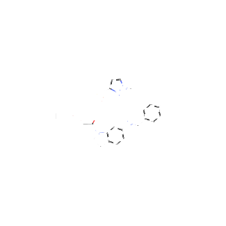 COCC(=O)N1CCc2ccc(NCc3ccc(Cl)cc3)cc21.Cn1ccc(S(=O)(=O)O)n1